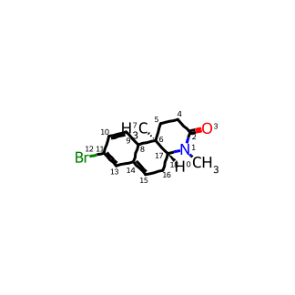 CN1C(=O)CC[C@]2(C)C3C=CC(Br)=CC3=CC[C@@H]12